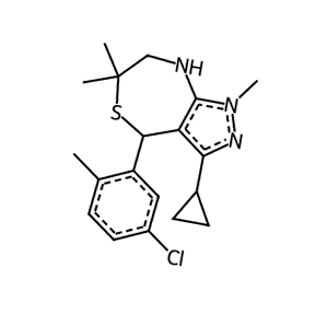 Cc1ccc(Cl)cc1C1SC(C)(C)CNc2c1c(C1CC1)nn2C